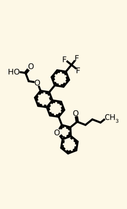 CCCCC(=O)c1c(-c2ccc3c(-c4ccc(C(F)(F)F)cc4)c(OCC(=O)O)ccc3c2)oc2ccccc12